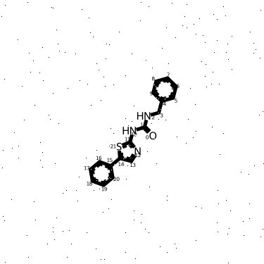 O=C(NCc1ccccc1)Nc1ncc(-c2ccccc2)s1